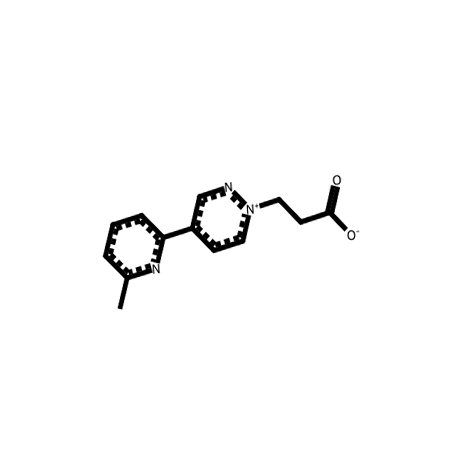 Cc1cccc(-c2cc[n+](CCC(=O)[O-])nc2)n1